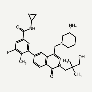 Cc1c(F)cc(C(=O)NC2CC2)cc1-c1ccc2c(=O)n(CC(C)(C)CO)cc(CN3CCC[C@@H](N)C3)c2c1